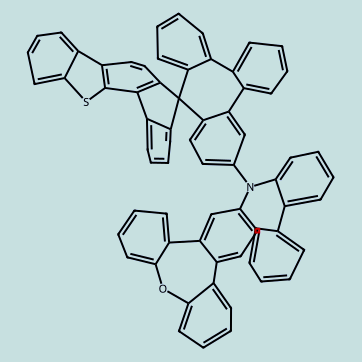 c1ccc(-c2ccccc2N(c2ccc3c(c2)-c2ccccc2Oc2ccccc2-3)c2ccc3c(c2)-c2ccccc2-c2ccccc2C32c3ccccc3-c3c2ccc2c3sc3ccccc32)cc1